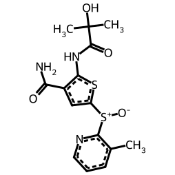 Cc1cccnc1[S+]([O-])c1cc(C(N)=O)c(NC(=O)C(C)(C)O)s1